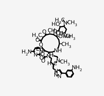 CC[C@H]1OC(=O)[C@H](C)C(=O)[C@H](C)[C@@H](O[C@@H]2O[C@H](C)CC(N(C)C)C2O)[C@](C)(OC)C[C@@H](C)CN[C@H](CCN(C)C)[C@H]2N(CCCCn3cc(-c4cccc(N)c4)nn3)C(=O)O[C@]12n1ccc(N)nc1=O